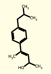 CC(=CC(C)O)c1ccc(CC(C)C)cc1